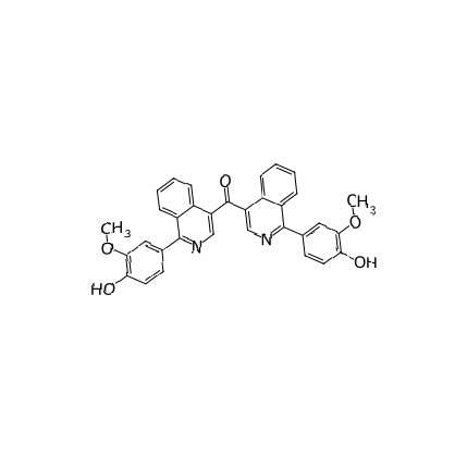 COc1cc(-c2ncc(C(=O)c3cnc(-c4ccc(O)c(OC)c4)c4ccccc34)c3ccccc23)ccc1O